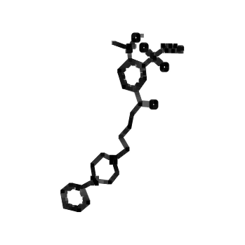 CNS(=O)(=O)c1cc(C(=O)CCCCN2CCN(c3ccccc3)CC2)ccc1[S+](C)[O-]